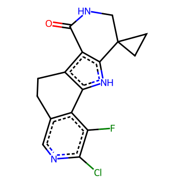 O=C1NCC2(CC2)c2[nH]c3c(c21)CCc1cnc(Cl)c(F)c1-3